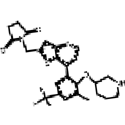 Cc1cc(C(F)(F)F)cc(-c2ccnc3cc(CN4C(=O)CCC4=O)sc23)c1OC1CCCNC1